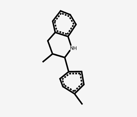 Cc1ccc(C2Nc3ccccc3CC2C)cc1